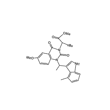 CCCCC(C(=O)OC)n1c(=O)c2cc(OC)ccc2n(C(C)c2c[nH]c3cccc(C)c23)c1=O